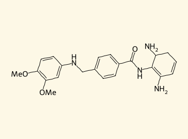 COc1ccc(NCc2ccc(C(=O)NC3=C(N)C=CCC3N)cc2)cc1OC